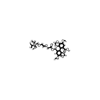 COC(=O)c1cc(OC)c2c(c1-c1c(COC(=O)COCCOC[Si](OC)(OC)C(C)C)cc(OC)c3c1OCO3)OCO2